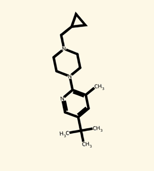 Cc1cc(C(C)(C)C)cnc1N1CCN(CC2CC2)CC1